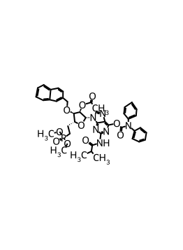 COP(=O)(CC[C@H]1O[C@@H](n2cnc3c(OC(=O)N(c4ccccc4)c4ccccc4)nc(NC(=O)C(C)C)nc32)[C@H](OC(C)=O)[C@@H]1OCc1ccc2ccccc2c1)OC